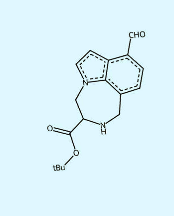 CC(C)(C)OC(=O)C1Cn2ccc3c(C=O)ccc(c32)CN1